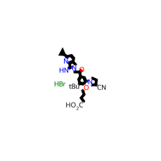 Br.CC(C)(C)c1cc(C(=O)CN2Cc3ccc(C4CC4)nc3C2=N)cc(N2CCC(C#N)C2)c1OCCCCC(=O)O